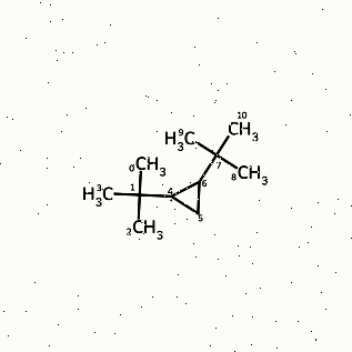 CC(C)(C)[C]1CC1C(C)(C)C